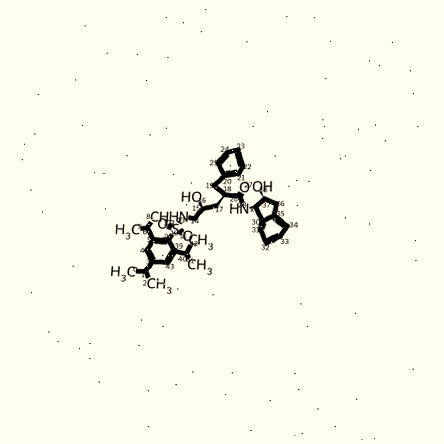 CC(C)c1cc(C(C)C)c(S(=O)(=O)NC[C@@H](O)C[C@@H](Cc2ccccc2)C(=O)N[C@H]2c3ccccc3C[C@H]2O)c(C(C)C)c1